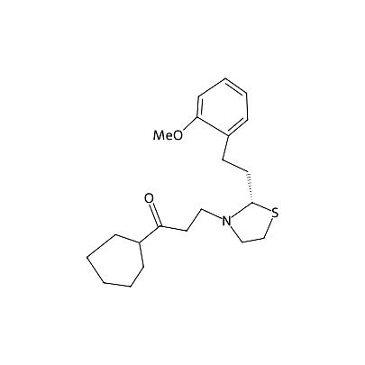 COc1ccccc1CC[C@@H]1SCCN1CCC(=O)C1CCCCC1